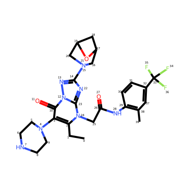 CCc1c(N2CCNCC2)c(=O)n2nc(N3CC4CC(C3)O4)nc2n1CC(=O)Nc1ccc(C(F)(F)F)cc1C